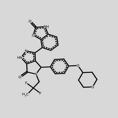 CC(F)(F)CN1C(=O)c2[nH]nc(-c3cccc4[nH]c(=O)oc34)c2C1c1ccc(OC2CCOCC2)cc1